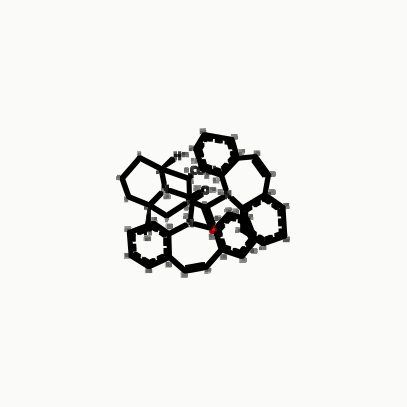 O=C(O)[C@@H]1[C@H]2CCC[C@@H](CN1C(=O)N1c3ccccc3C=Cc3ccccc31)N2C(=O)N1c2ccccc2C=Cc2ccccc21